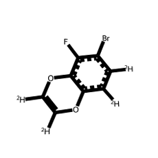 [2H]C1=C([2H])Oc2c(F)c(Br)c([2H])c([2H])c2O1